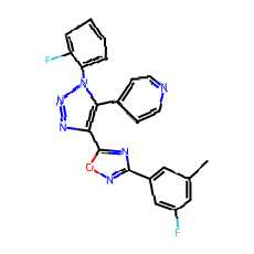 Cc1cc(F)cc(-c2noc(-c3nnn(-c4ccccc4F)c3-c3ccncc3)n2)c1